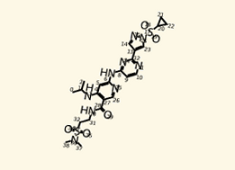 CC(C)Nc1cc(Nc2ccnc(-c3cnn(S(=O)(=O)C4CC4)c3)n2)ncc1C(=O)NCCS(=O)(=O)N(C)C